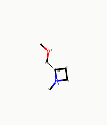 COC[C@@H]1CCN1C